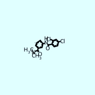 CN(C)C(=O)c1c[c]cc(NC(=O)c2ccc(Cl)cc2Cl)c1